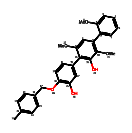 COc1ccccc1-c1cc(OC)c(-c2ccc(OCc3ccc(C)cc3)c(O)c2)c(O)c1OC